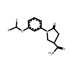 NC(=O)C1CC(=O)N(c2cccc(OC(F)F)c2)C1